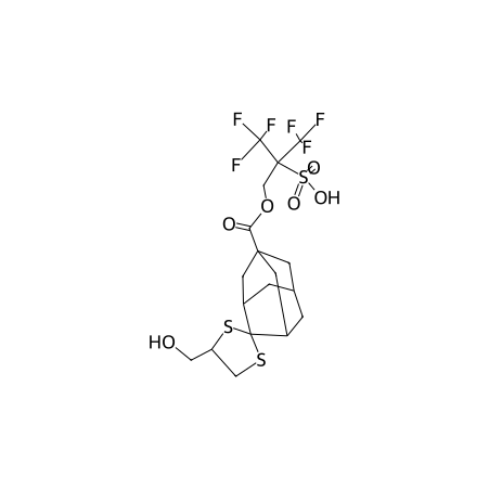 O=C(OCC(C(F)(F)F)(C(F)(F)F)S(=O)(=O)O)C12CC3CC(C1)C1(SCC(CO)S1)C(C3)C2